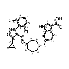 O=C(O)c1c[nH]c2cc(CN3CCCC(OCc4c(-c5c(Cl)cccc5Cl)noc4C4CC4)CC3)ccc12